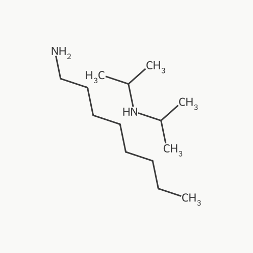 CC(C)NC(C)C.CCCCCCCCN